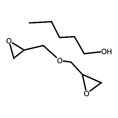 C(OCC1CO1)C1CO1.CCCCCO